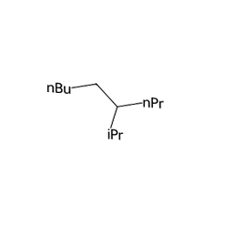 CCCCCC(CCC)C(C)C